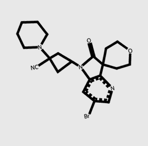 N#CC1(N2CCCCC2)CC(N2C(=O)C3(CCOCC3)c3ncc(Br)cc32)C1